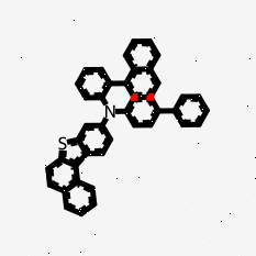 c1ccc(-c2ccc(N(c3ccc4c(c3)sc3ccc5ccccc5c34)c3ccccc3-c3cccc4ccccc34)cc2)cc1